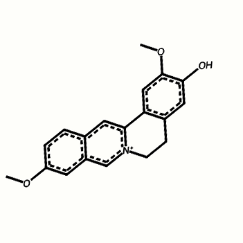 COc1ccc2cc3[n+](cc2c1)CCc1cc(O)c(OC)cc1-3